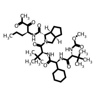 CCC[C@H](NC(=O)[C@@H]1[C@H]2CCC[C@H]2CN1C(=O)[C@@H](NC(=O)[C@@H](NC(=O)[C@H](NC(=O)OC)C(C)(C)C)C1CCCCC1)C(C)(C)C)C(=O)C(C)=O